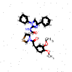 COc1ccc(CC(=O)N2CSC[C@@H]2C(=O)Nc2nc(-c3ccccc3)cn2-c2ccccc2)cc1OC